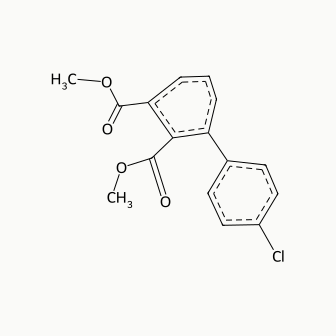 COC(=O)c1cccc(-c2ccc(Cl)cc2)c1C(=O)OC